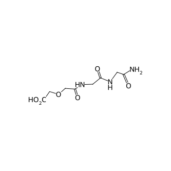 NC(=O)CNC(=O)CNC(=O)COCC(=O)O